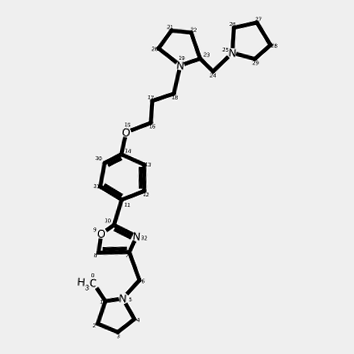 CC1CCCN1Cc1coc(-c2ccc(OCCCN3CCCC3CN3CCCC3)cc2)n1